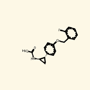 O=C(O)N[C@@H]1C[C@H]1c1ccc(OCc2ccccc2F)cc1